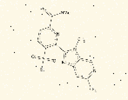 CCS(=O)(=O)c1ccc(C(=S)NC)nc1-c1nc2cc(C(F)(F)F)ncc2n1C